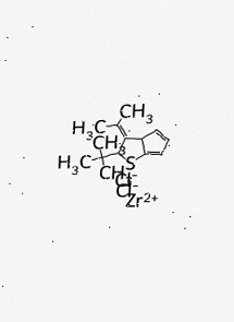 CC(C)=C1C2C=CC=C2SC1C(C)(C)C.[Cl-].[Cl-].[Zr+2]